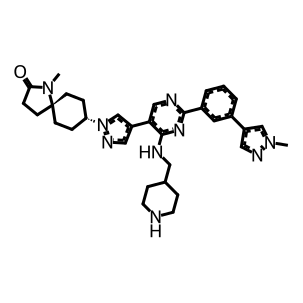 Cn1cc(-c2cccc(-c3ncc(-c4cnn([C@H]5CC[C@]6(CCC(=O)N6C)CC5)c4)c(NCC4CCNCC4)n3)c2)cn1